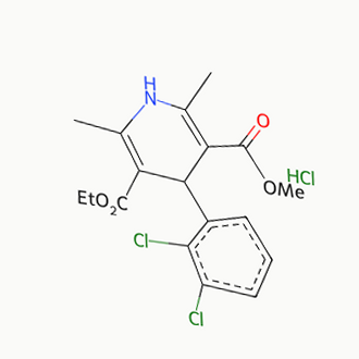 CCOC(=O)C1=C(C)NC(C)=C(C(=O)OC)C1c1cccc(Cl)c1Cl.Cl